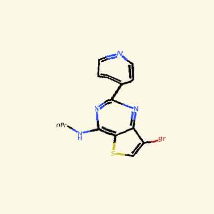 CCCNc1nc(-c2ccncc2)nc2c(Br)csc12